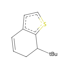 CC(C)(C)C1CC=Cc2ccsc21